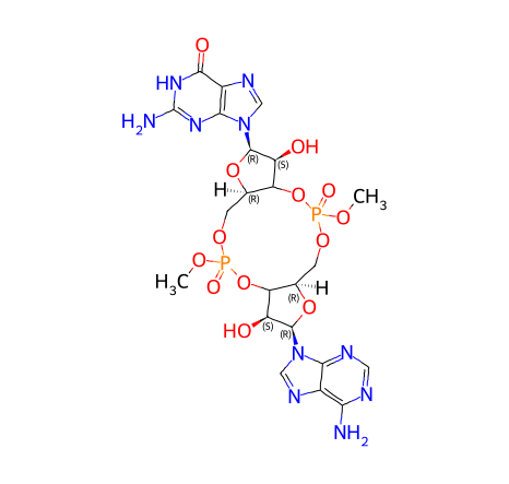 COP1(=O)OC[C@H]2O[C@@H](n3cnc4c(=O)[nH]c(N)nc43)[C@@H](O)C2OP(=O)(OC)OC[C@H]2O[C@@H](n3cnc4c(N)ncnc43)[C@@H](O)C2O1